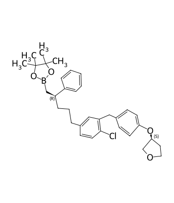 CC1(C)OB(C[C@H](CCCc2ccc(Cl)c(Cc3ccc(O[C@H]4CCOC4)cc3)c2)c2ccccc2)OC1(C)C